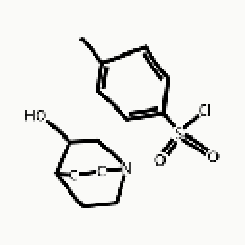 Cc1ccc(S(=O)(=O)Cl)cc1.OC1CN2CCC1CC2